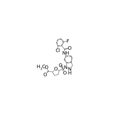 COC(=O)C1CCC(S(=O)(=O)N2NCc3ccc(NC(=O)c4c(F)cccc4Cl)cc32)O1